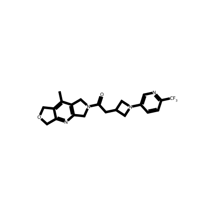 Cc1c2c(nc3c1CN(C(=O)CC1CN(c4ccc(C(F)(F)F)nc4)C1)C3)COC2